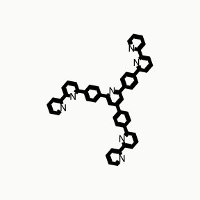 c1ccc(-c2cccc(-c3ccc(-c4cc(-c5ccc(-c6cccc(-c7ccccn7)n6)cc5)nc(-c5ccc(-c6cccc(-c7ccccn7)n6)cc5)c4)cc3)n2)nc1